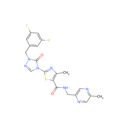 Cc1cnc(CNC(=O)c2sc(-n3cnn(Cc4cc(F)cc(F)c4)c3=O)nc2C)cn1